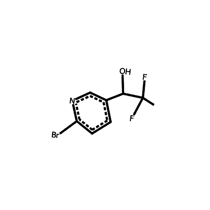 CC(F)(F)C(O)c1ccc(Br)nc1